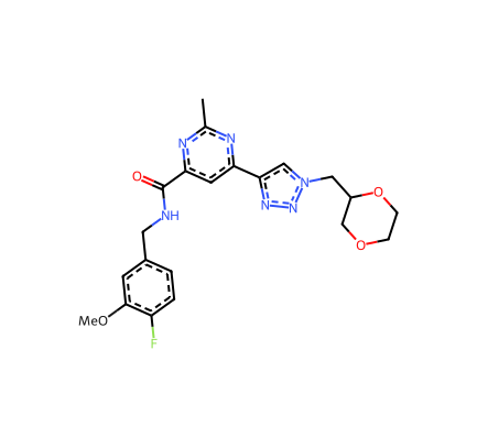 COc1cc(CNC(=O)c2cc(-c3cn(CC4COCCO4)nn3)nc(C)n2)ccc1F